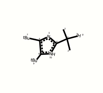 [3H]C(C)(C)c1nc(C(C)(C)C)c(C(C)(C)C)[nH]1